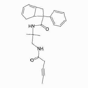 CC#CCC(=O)NCC(C)(C)NC(=O)C1(c2ccccc2)CC2=CC=CCC21